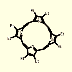 CCC1=C(CC)c2cc3[nH]c(cc4[nH]c(cc5nc(cc1n2)C(CC)=C5CC)c(CC)c4CC)c(CC)c3CC